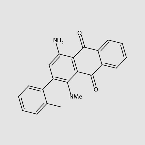 CNc1c(-c2ccccc2C)cc(N)c2c1C(=O)c1ccccc1C2=O